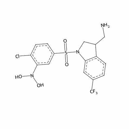 NCC1CN(S(=O)(=O)c2ccc(Cl)c(N(O)O)c2)c2cc(C(F)(F)F)ccc21